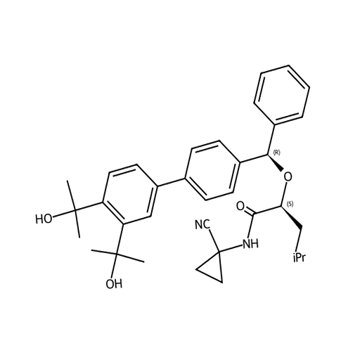 CC(C)C[C@H](O[C@H](c1ccccc1)c1ccc(-c2ccc(C(C)(C)O)c(C(C)(C)O)c2)cc1)C(=O)NC1(C#N)CC1